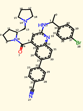 CC(Nc1cc(C(=O)N2CCC[C@H]2CN2CCCC2)c2cc(-c3ccc(C#N)cc3)ccc2n1)c1ccc(Br)cc1